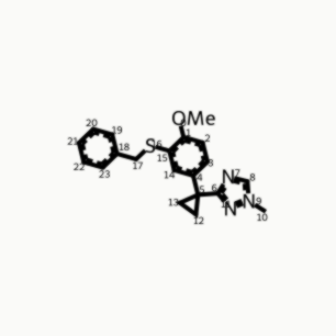 COc1ccc(C2(c3ncn(C)n3)CC2)cc1SCc1ccccc1